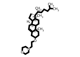 CC(C)CCC[C@@H](C)[C@H]1CCC2[C@@H]3CC=C4C[C@@H](OCCN5CCOCC5)CC[C@]4(C)C3CC[C@@]21C